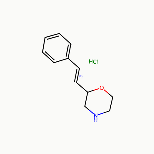 C(=C\C1CNCCO1)/c1ccccc1.Cl